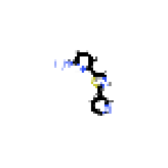 Nc1cccc(-c2cnc(-c3cccnc3)s2)n1